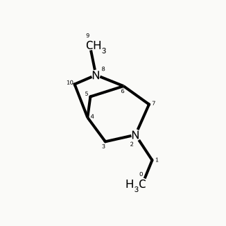 CCN1CC2CC(C1)N(C)C2